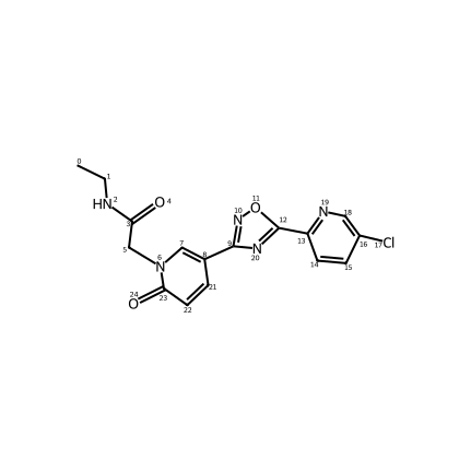 CCNC(=O)Cn1cc(-c2noc(-c3ccc(Cl)cn3)n2)ccc1=O